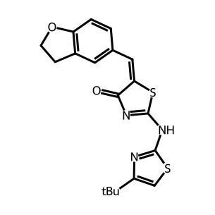 CC(C)(C)c1csc(NC2=NC(=O)C(=Cc3ccc4c(c3)CCO4)S2)n1